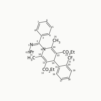 CCCN=C(c1ccccc1)N1C(C)=C(C(=O)OCC)C(c2ccccc2C(F)(F)F)C(C(=O)OCC)=C1C